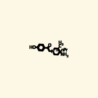 CCC[C@]1(N)CCN(CC(=O)c2ccc(O)cc2)C[C@@H]1C